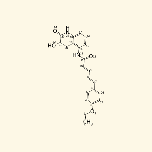 CCOc1ccc(C=CC=CC(=O)Nc2cccc3c2CC(O)C(=O)N3)cc1